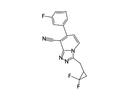 N#Cc1c(-c2cccc(F)c2)ccn2c(CC3CC3(F)F)nnc12